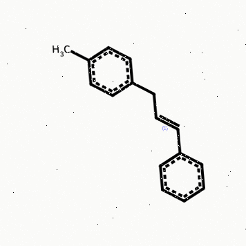 Cc1ccc(C/C=C/c2ccccc2)cc1